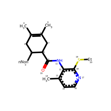 CCCCCCCCCC1CC(C)=C(C)CC1C(=O)Nc1c(C)ccnc1SCC